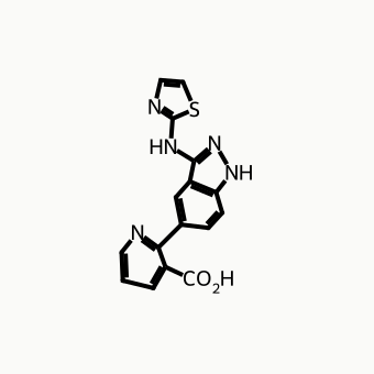 O=C(O)c1cccnc1-c1ccc2[nH]nc(Nc3nccs3)c2c1